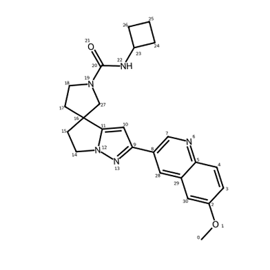 COc1ccc2ncc(-c3cc4n(n3)CCC43CCN(C(=O)NC4CCC4)C3)cc2c1